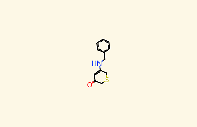 O=C1C=C(NCc2ccccc2)CSC1